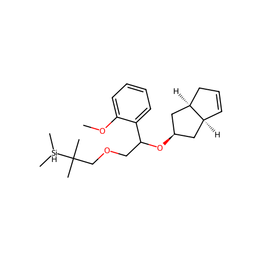 COc1ccccc1C(COCC(C)(C)[SiH](C)C)O[C@H]1C[C@H]2CC=C[C@H]2C1